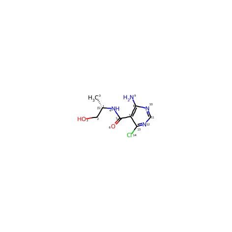 C[C@@H](CO)NC(=O)c1c(N)ncnc1Cl